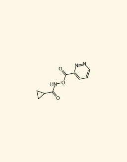 O=C(ONC(=O)C1CC1)c1cccnn1